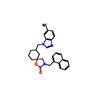 N#Cc1ccc2ncn(CC3CCCC4(C3)CN(Cc3cccc5ccccc35)C(=O)O4)c2c1